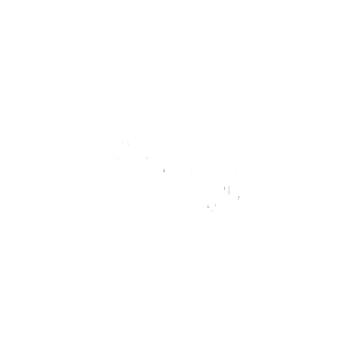 CS(=O)(=O)CCOCCc1ccccc1[N+](=O)[O-]